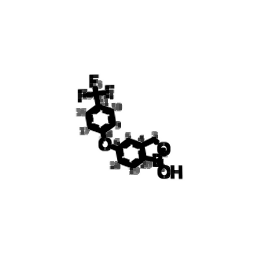 OB1OCc2cc(Oc3ccc(C(F)(F)F)cc3)ccc21